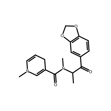 CC(C(=O)c1ccc2c(c1)OCO2)N(C)C(=O)C1=CN(C)C=CC1